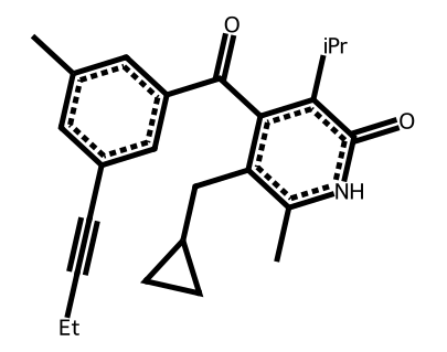 CCC#Cc1cc(C)cc(C(=O)c2c(CC3CC3)c(C)[nH]c(=O)c2C(C)C)c1